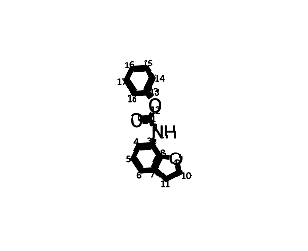 O=C(Nc1cccc2c1OCC2)Oc1ccccc1